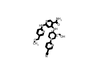 COCc1ccc(Nc2cc(N[C@@H]3CCN(c4ccc(C#N)cn4)C[C@H]3CO)c(C(N)=O)cn2)nc1